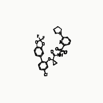 O=C(NS(=O)(=O)c1cccc(N2CCCC2)n1)C1(Oc2cc(Cl)ccc2-c2ccc3c(c2)OC(F)(F)O3)CC1